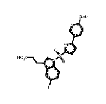 COc1ccc(-c2ccc(S(=O)(=O)n3cc(CCC(=O)O)c4cc(F)ccc43)s2)cn1